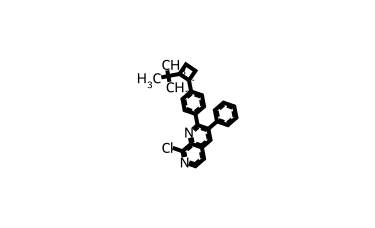 CC(C)(C)C1CC[C]1c1ccc(-c2nc3c(Cl)nccc3cc2-c2ccccc2)cc1